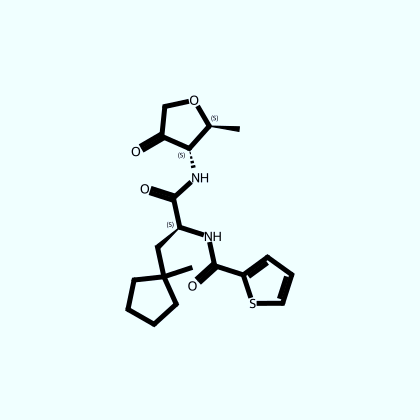 C[C@@H]1OCC(=O)[C@H]1NC(=O)[C@H](CC1(C)CCCC1)NC(=O)c1cccs1